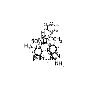 CC(C)Cn1c(N)nc2ccc(-c3c(-c4ccc(F)cc4)n[nH]c3C(C)N3CCOCC3)nc21.CS(=O)(=O)O